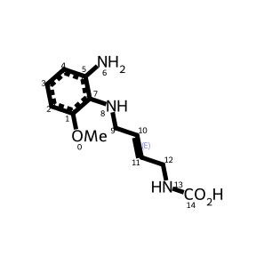 COc1cccc(N)c1NC/C=C/CNC(=O)O